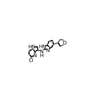 Clc1ccc2[nH]cc(Nc3nc4cc(C5=CCOCC5)ccc4[nH]3)c2n1